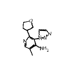 Cc1cnc(C2CCOC2)c(-n2ccnn2)c1N